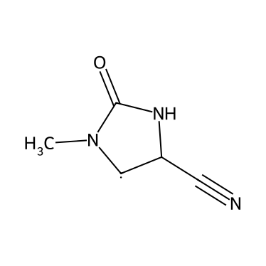 CN1[CH]C(C#N)NC1=O